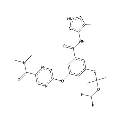 Cc1c[nH]nc1NC(=O)c1cc(Oc2cnc(C(=O)N(C)C)cn2)cc(OC(C)(C)OC(F)F)c1